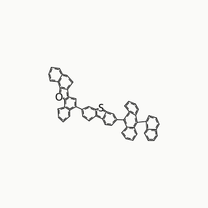 c1ccc2c(-c3c4ccccc4c(-c4ccc5c(c4)sc4cc(-c6cc7c8ccc9ccccc9c8oc7c7ccccc67)ccc45)c4ccccc34)cccc2c1